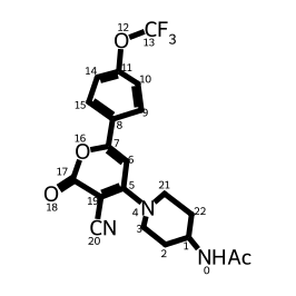 CC(=O)NC1CCN(c2cc(-c3ccc(OC(F)(F)F)cc3)oc(=O)c2C#N)CC1